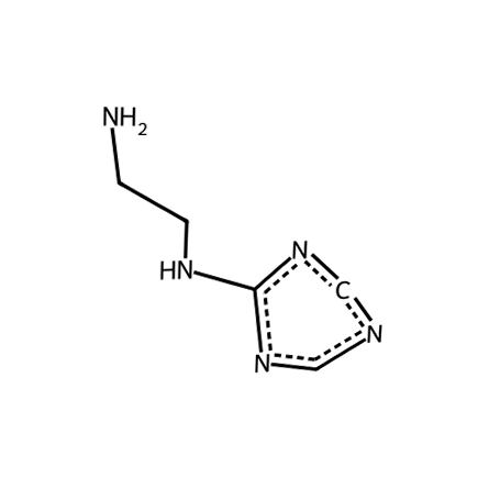 NCCNc1ncncn1